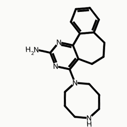 Nc1nc2c(c(N3CCCNCCC3)n1)CCCc1ccccc1-2